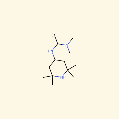 CCC(NC1CC(C)(C)NC(C)(C)C1)N(C)C